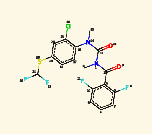 CN(C(=O)c1c(F)cccc1F)C(=O)N(C)c1ccc(SC(F)F)cc1Cl